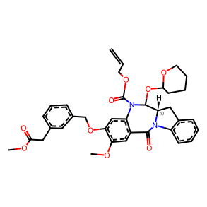 C=CCOC(=O)N1c2cc(OCc3cccc(CC(=O)OC)c3)c(OC)cc2C(=O)N2c3ccccc3C[C@H]2C1OC1CCCCO1